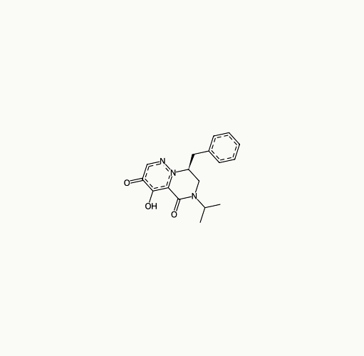 CC(C)N1C[C@H](Cc2ccccc2)n2ncc(=O)c(O)c2C1=O